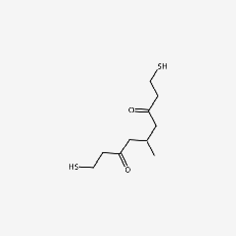 CC(CC(=O)CCS)CC(=O)CCS